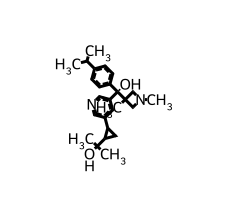 CC(C)c1ccc([C@](O)(c2cncc(C3CC3C(C)(C)O)c2)C2(C)CN(C)C2)cc1